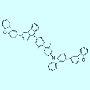 Cc1cc(-n2c3ccccc3c3cc(-c4ccc5oc6ccccc6c5c4)ccc32)ccc1-c1ccc(-n2c3ccccc3c3cc(-c4ccc5oc6ccccc6c5c4)ccc32)cc1C